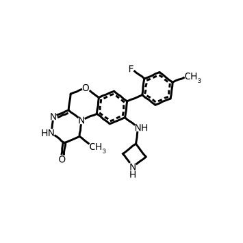 Cc1ccc(-c2cc3c(cc2NC2CNC2)N2C(=NNC(=O)C2C)CO3)c(F)c1